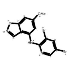 COc1cc(Nc2ncc(Br)cc2Br)c2cnoc2c1